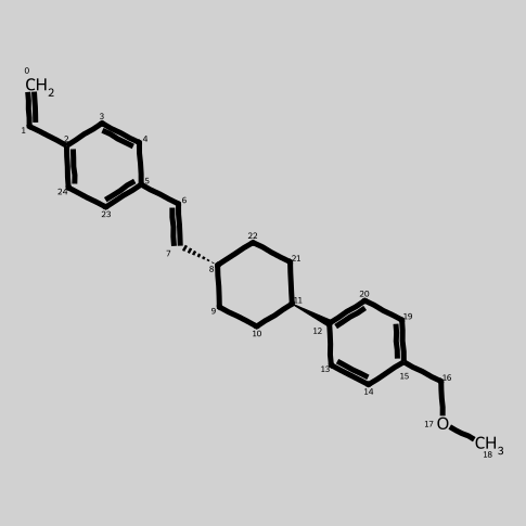 C=Cc1ccc(/C=C/[C@H]2CC[C@H](c3ccc(COC)cc3)CC2)cc1